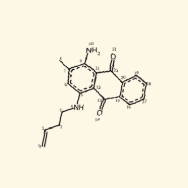 C=CCCNc1cc(C)c(N)c2c1C(=O)c1ccccc1C2=O